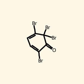 O=C1C(Br)=CC=C(Br)C1(Br)Br